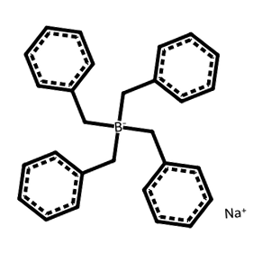 [Na+].c1ccc(C[B-](Cc2ccccc2)(Cc2ccccc2)Cc2ccccc2)cc1